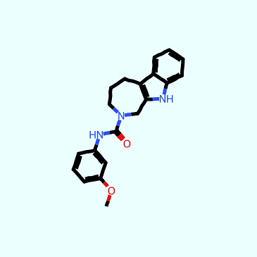 COc1cccc(NC(=O)N2CCCc3c([nH]c4ccccc34)C2)c1